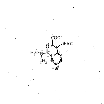 Br.CCCCCC(CC(=O)[O-])c1cccc[n+]1C(=O)N(C)C